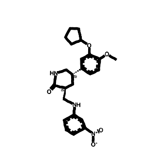 COc1ccc([C@H]2CNC(=O)[C@H](CNc3cccc([N+](=O)[O-])c3)C2)cc1OC1CCCC1